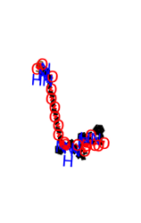 CCC(C)C(C(CC(=O)N1CCC[C@H]1C(OC)C(C)C(=O)NC(Cc1ccccc1)C(=O)O)OC)N(C)C(=O)C(NC(=O)[C@]1(C)CCCN1C(=O)CCOCCOCCOCCOCCOCCOCCNC(=O)c1cnc(S(C)(=O)=O)cn1)C(C)C